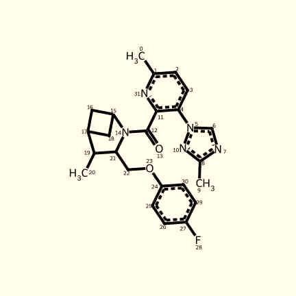 Cc1ccc(-n2cnc(C)n2)c(C(=O)N2C3CC(C3)C(C)C2COc2ccc(F)cc2)n1